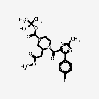 COC(=O)CC1CN(C(=O)OC(C)(C)C)CCN1C(=O)c1nc(C)sc1-c1ccc(F)cc1